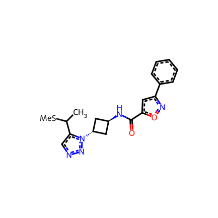 CSC(C)c1cnnn1[C@H]1C[C@H](NC(=O)c2cc(-c3ccccc3)no2)C1